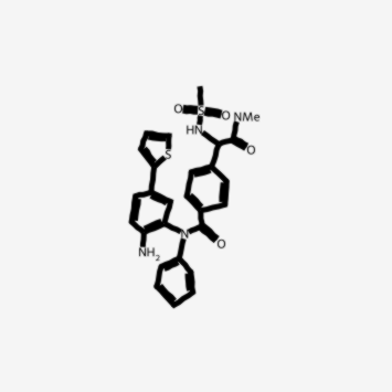 CNC(=O)C(NS(C)(=O)=O)c1ccc(C(=O)N(c2ccccc2)c2cc(-c3cccs3)ccc2N)cc1